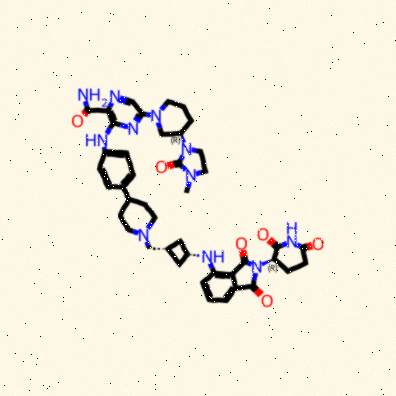 CN1CCN([C@@H]2CCCN(c3cnc(C(N)=O)c(Nc4ccc(C5CCN(C[C@H]6C[C@@H](Nc7cccc8c7C(=O)N([C@@H]7CCC(=O)NC7=O)C8=O)C6)CC5)cc4)n3)C2)C1=O